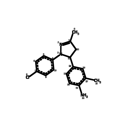 CC1=NN(c2ccc(Cl)cc2)C(c2ccc(N)c(C)c2)C1